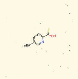 CCCCc1ccc(C(O)=S)nc1